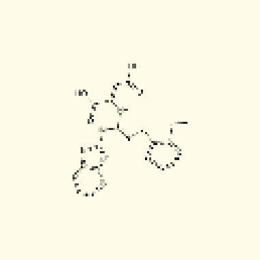 COc1ccccc1CN=C(N/C(=C\C(=O)O)C(=O)O)Nc1nc2ccccc2s1